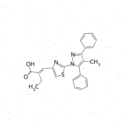 CC/C(=C\c1csc(-n2nc(-c3ccccc3)c(C)c2-c2ccccc2)n1)C(=O)O